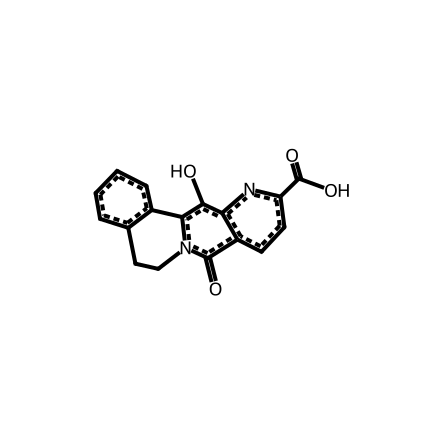 O=C(O)c1ccc2c(=O)n3c(c(O)c2n1)-c1ccccc1CC3